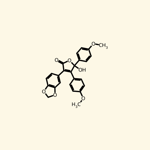 COc1ccc(C2=C(c3ccc4c(c3)OCO4)C(=O)OC2(O)c2ccc(OC)cc2)cc1